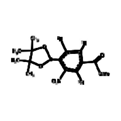 [2H]c1c([2H])c(C(=O)OC)c([2H])c([N+](=O)[O-])c1B1OC(C)(C)C(C)(C)O1